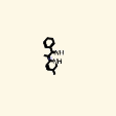 C/C(C(=N)C1=CCCC=C1)=C1\C#CC(C)CN1